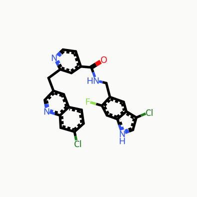 O=C(NCc1cc2c(Cl)c[nH]c2cc1F)c1ccnc(Cc2cnc3cc(Cl)ccc3c2)c1